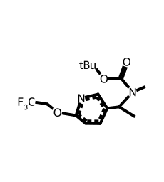 CC(c1ccc(OCC(F)(F)F)nc1)N(C)C(=O)OC(C)(C)C